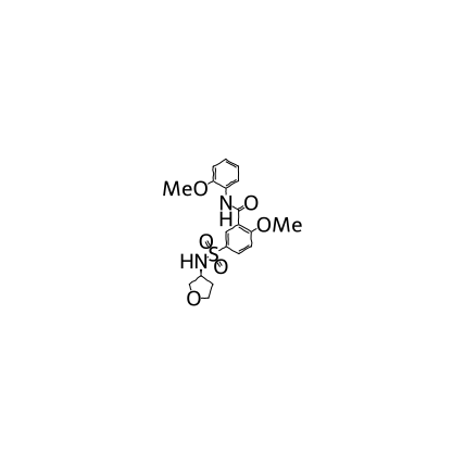 COc1ccccc1NC(=O)c1cc(S(=O)(=O)N[C@H]2CCOC2)ccc1OC